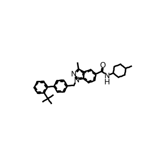 Cc1nn(Cc2ccc(-c3ccccc3C(C)(C)C)cc2)c2ccc(C(=O)NC3CCC(C)CC3)cc12